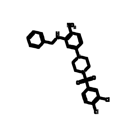 O=[N+]([O-])c1ccc(N2CCN(S(=O)(=O)c3ccc(Cl)c(Cl)c3)CC2)cc1NCc1ccccc1